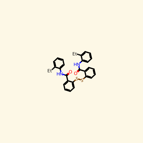 CCc1ccccc1NC(=O)c1ccccc1SSc1ccccc1C(=O)Nc1ccccc1CC